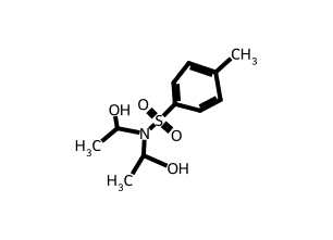 Cc1ccc(S(=O)(=O)N(C(C)O)C(C)O)cc1